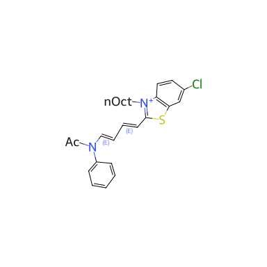 CCCCCCCC[n+]1c(/C=C/C=C/N(C(C)=O)c2ccccc2)sc2cc(Cl)ccc21